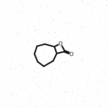 O=C1OC2CCCCCCC12